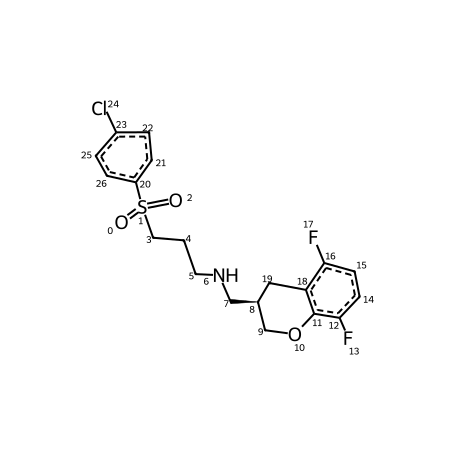 O=S(=O)(CCCNC[C@@H]1COc2c(F)ccc(F)c2C1)c1ccc(Cl)cc1